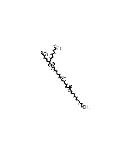 CCCCCCCCCCCOC(=O)CCCCCNCCCCCCCC(=O)OC(CCCCCC)CCCCCCCC